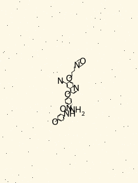 COc1ccc(NC(=O)N(N)c2ccc(Oc3ccnc4cc(OCCCCN5CCOCC5)c(C#N)cc34)cc2)cc1